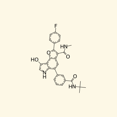 CNC(=O)c1c(-c2ccc(F)cc2)oc2c1cc(-c1cccc(C(=O)NC(C)(C)C)c1)c1[nH]cc(O)c12